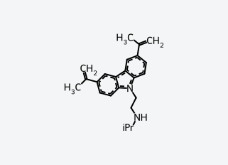 C=C(C)c1ccc2c(c1)c1cc(C(=C)C)ccc1n2CCNC(C)C